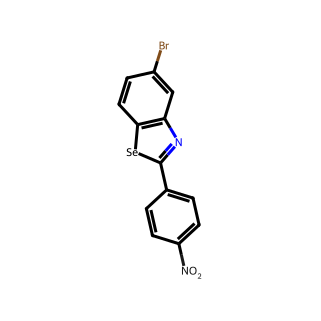 O=[N+]([O-])c1ccc(-c2nc3cc(Br)ccc3[se]2)cc1